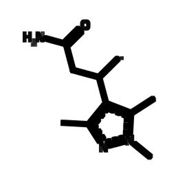 [CH2]C(CC(N)=O)c1c(C)nn(C)c1C